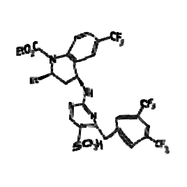 CCOC(=O)N1c2ccc(C(F)(F)F)cc2[C@@H](Nc2ncc(S(=O)(=O)O)c(Cc3cc(C(F)(F)F)cc(C(F)(F)F)c3)n2)C[C@H]1CC